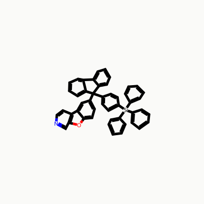 c1ccc([Si](c2ccccc2)(c2ccccc2)c2ccc(C3(c4ccc5oc6cnccc6c5c4)c4ccccc4-c4ccccc43)cc2)cc1